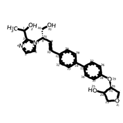 CC(O)c1nccn1[C@@H](C=Cc1ccc(-c2ccc(O[C@H]3COCC3O)cc2)cc1)CO